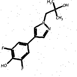 CC(C)(O)Cn1cc(-c2cc(F)c(O)c(F)c2)cn1